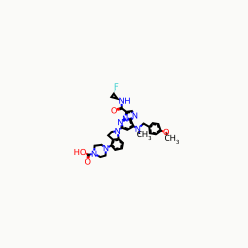 COc1ccc(CN(C)c2cc(N3CCc4c(N5CCN(C(=O)O)CC5)cccc43)nn3c(C(=O)N[C@@H]4C[C@@H]4F)cnc23)cc1